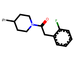 CC(C)C1CCN(C(=O)Cc2ccccc2F)CC1